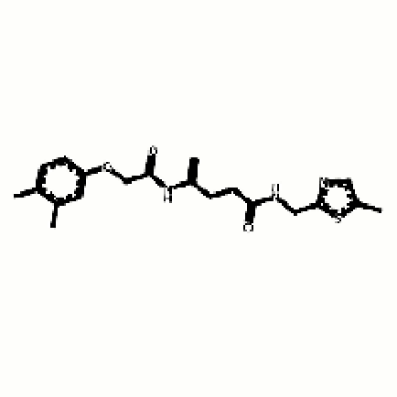 C=C(CCC(=O)NCc1ncc(C)s1)NC(=O)COc1ccc(C)c(C)c1